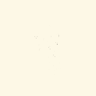 CS(=O)(=O)C1CCN(c2cnc(-c3ccc(F)cc3F)c(-c3ccncc3Cl)n2)CC1